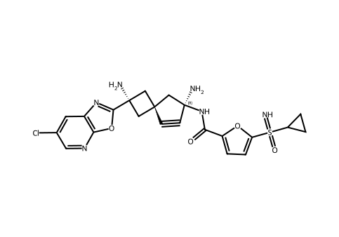 N=S(=O)(c1ccc(C(=O)N[C@@]2(N)C#C[C@]3(C2)C[C@](N)(c2nc4cc(Cl)cnc4o2)C3)o1)C1CC1